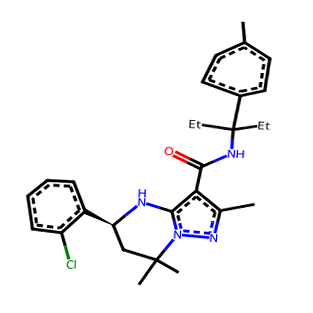 CCC(CC)(NC(=O)c1c(C)nn2c1N[C@H](c1ccccc1Cl)CC2(C)C)c1ccc(C)cc1